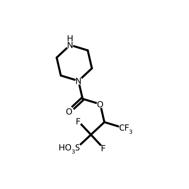 O=C(OC(C(F)(F)F)C(F)(F)S(=O)(=O)O)N1CCNCC1